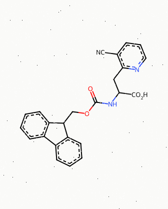 N#Cc1cccnc1CC(NC(=O)OCC1c2ccccc2-c2ccccc21)C(=O)O